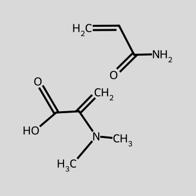 C=C(C(=O)O)N(C)C.C=CC(N)=O